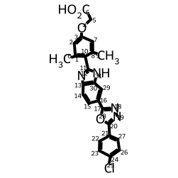 Cc1cc(OCC(=O)O)cc(C)c1-c1nc2ccc(-c3nnc(-c4ccc(Cl)cc4)o3)cc2[nH]1